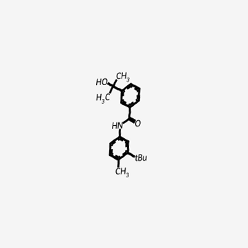 Cc1ccc(NC(=O)c2cccc(C(C)(C)O)c2)cc1C(C)(C)C